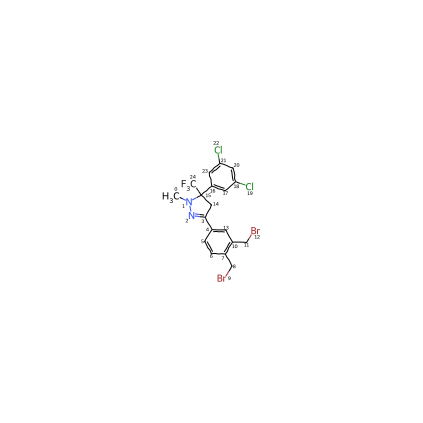 CN1N=C(c2ccc(CBr)c(CBr)c2)CC1(c1cc(Cl)cc(Cl)c1)C(F)(F)F